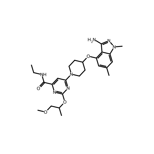 CCNC(=O)c1cc(N2CCC(Oc3cc(C)cc4c3c(N)nn4C)CC2)nc(OC(C)COC)n1